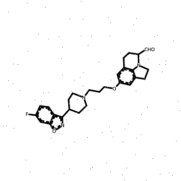 O=CC1CCc2cc(OCCCN3CCC(c4noc5cc(F)ccc45)CC3)cc3c2N1CC3